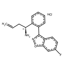 C=CC[C@H](N)c1ccccc1-c1noc2cc(F)ccc12.Cl